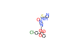 O=C([C@@H]1CSC(c2cccnc2)N1)N1CCN(CCCOc2c(-c3ccc(Cl)cc3)oc3ccccc3c2=O)CC1